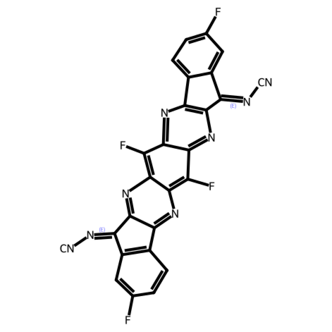 [C-]#[N+]/N=c1\c2cc(F)ccc2c2nc3c(F)c4nc5/c(=N/C#N)c6cc(F)ccc6c5nc4c(F)c3nc12